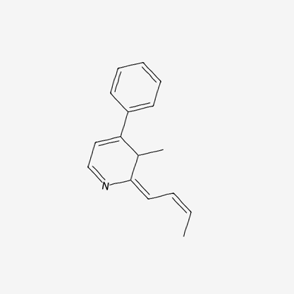 C/C=C\C=C1\N=CC=C(c2ccccc2)C1C